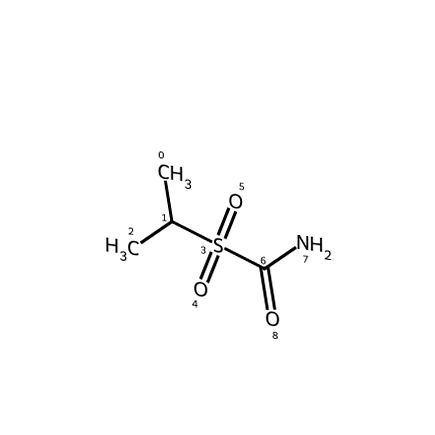 CC(C)S(=O)(=O)C(N)=O